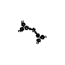 COc1ccc(N(c2ccc(C#Cc3ccc(C#Cc4ccc(N(c5ccc(OC)cc5)c5ccc(OC)cc5)cc4)s3)cc2)c2ccc(OC)cc2)cc1